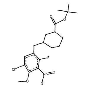 COc1c(Cl)cc(CC2CCCN(C(=O)OC(C)(C)C)C2)c(F)c1[N+](=O)[O-]